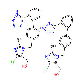 CCCCc1nc(Cl)c(CO)n1Cc1ccc(-c2ccccc2-c2nn[nH]n2)cc1.CCCCc1nc(Cl)c(CO)n1Cc1ccc(-c2ccccc2-c2nnn[nH]2)cc1